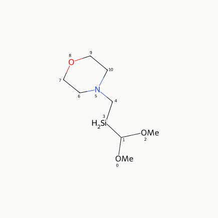 COC(OC)[SiH2]CN1CCOCC1